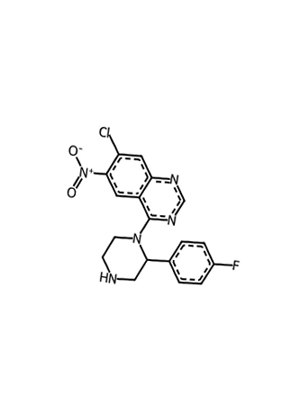 O=[N+]([O-])c1cc2c(N3CCNCC3c3ccc(F)cc3)ncnc2cc1Cl